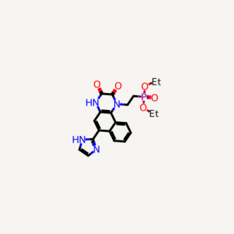 CCOP(=O)(CCn1c(=O)c(=O)[nH]c2cc(-c3ncc[nH]3)c3ccccc3c21)OCC